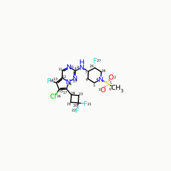 CS(=O)(=O)N1CC[C@@H](Nc2ncc3c(F)c(Cl)c(C4CC(F)(F)C4)n3n2)[C@H](F)C1